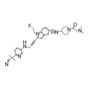 CN(C)CC(=O)N1CCC(NCc2ccc3c(c2)cc(C#CCNc2ccc(C(C)(C)C#N)nc2)n3CCF)CC1